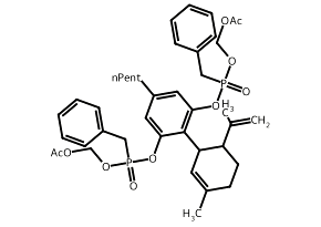 C=C(C)C1CCC(C)=CC1c1c(OP(=O)(Cc2ccccc2)OCOC(C)=O)cc(CCCCC)cc1OP(=O)(Cc1ccccc1)OCOC(C)=O